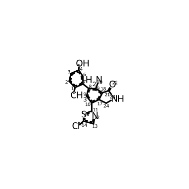 Cc1ccc(O)cc1-c1cc(-c2ncc(Cl)s2)c2c(c1N)C(=O)NC2